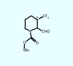 CC(C)(C)OC(=O)N1CCC[C@@H](C(F)(F)F)C1C=O